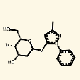 Cc1cc(OC2C[C@@H](O)[C@H](I)[C@@H](CO)O2)n(-c2ccccc2)n1